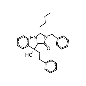 CCCC[C@H]1N[C@@H]([C@@](O)(CCc2ccccc2)c2ccccc2)C(=O)N1Cc1ccccc1